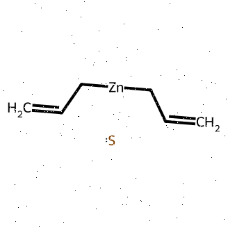 C=C[CH2][Zn][CH2]C=C.[S]